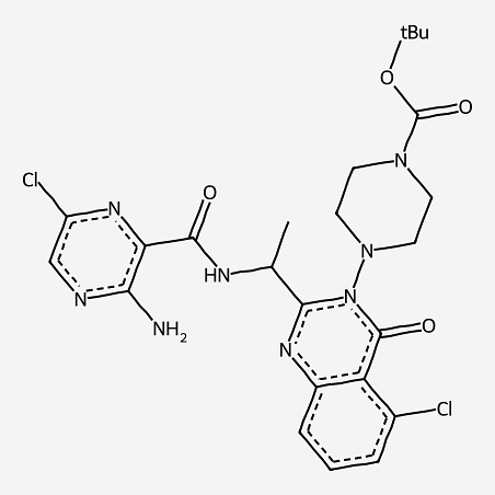 CC(NC(=O)c1nc(Cl)cnc1N)c1nc2cccc(Cl)c2c(=O)n1N1CCN(C(=O)OC(C)(C)C)CC1